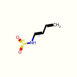 C=C/C=C/N[SH](=O)=O